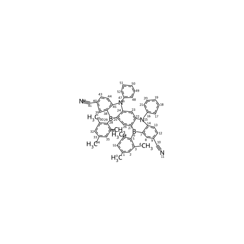 Cc1cc(C)c(B2c3cc(C#N)ccc3N(c3ccccc3)c3cc4c(cc32)B(c2c(C)cc(C)cc2C)c2cc(C#N)ccc2N4c2ccccc2)c(C)c1